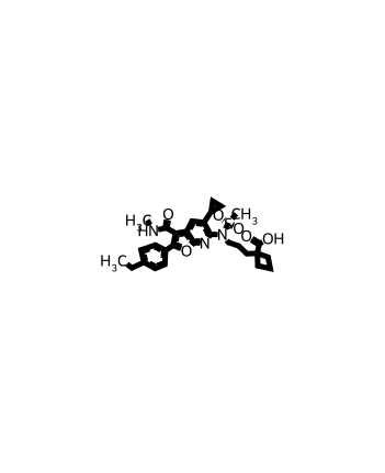 CCc1ccc(-c2oc3nc(N(CCCC4(C(=O)O)CCC4)S(C)(=O)=O)c(C4CC4)cc3c2C(=O)NC)cc1